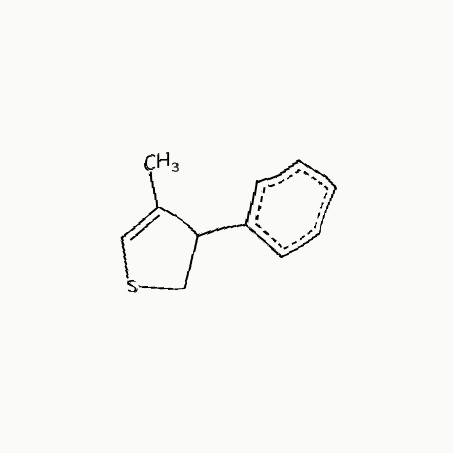 CC1=CSCC1c1ccccc1